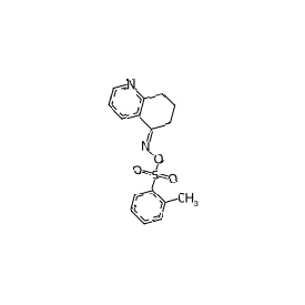 Cc1ccccc1S(=O)(=O)ON=C1CCCc2ncccc21